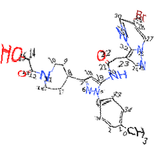 Cc1ccc(-n2nc(C3CCN(C(=O)CO)CC3)cc2NC(=O)c2cnn3cc(Br)cnc23)cc1